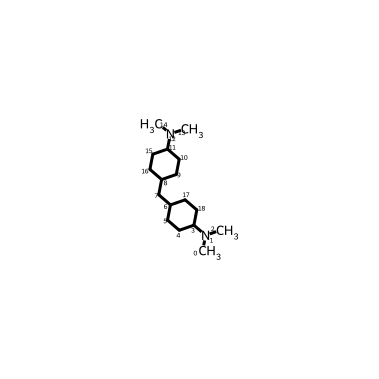 CN(C)C1CCC(CC2CCC(N(C)C)CC2)CC1